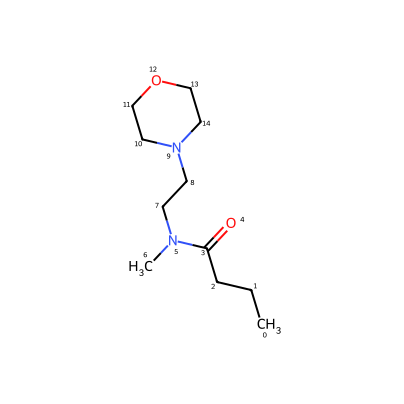 CCCC(=O)N(C)CCN1CCOCC1